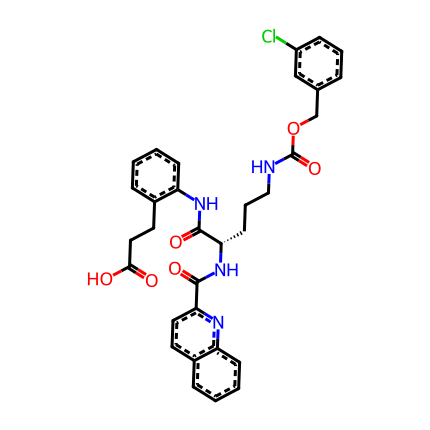 O=C(O)CCc1ccccc1NC(=O)[C@H](CCCNC(=O)OCc1cccc(Cl)c1)NC(=O)c1ccc2ccccc2n1